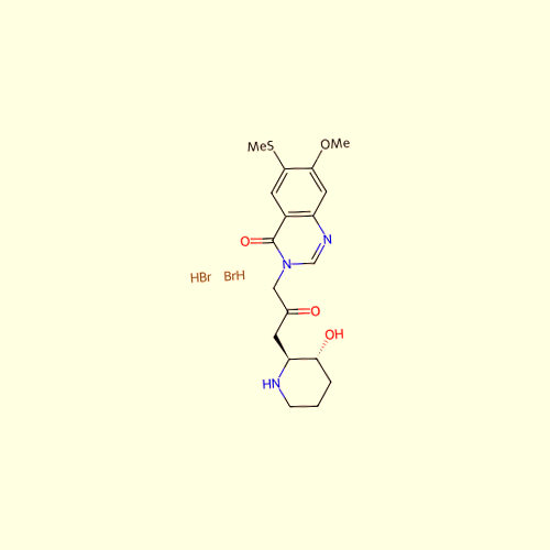 Br.Br.COc1cc2ncn(CC(=O)C[C@@H]3NCCC[C@H]3O)c(=O)c2cc1SC